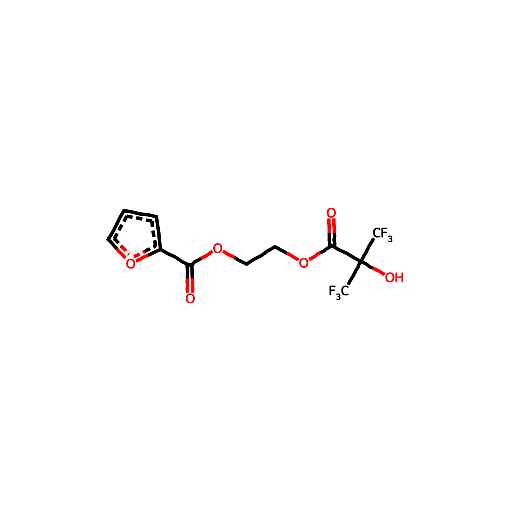 O=C(OCCOC(=O)C(O)(C(F)(F)F)C(F)(F)F)c1ccco1